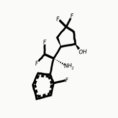 N[C@](c1ccccc1F)(C(F)F)[C@H]1CC(F)(F)C[C@H]1O